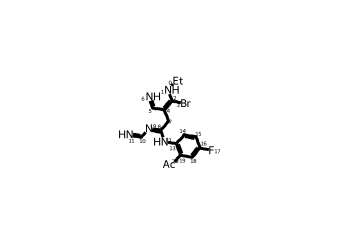 CCN/C(Br)=C(\C=N)C/C(=N/C=N)Nc1ccc(F)cc1C(C)=O